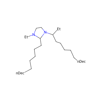 CCCCCCCCCCCCCCCC(CC)N1CCN(CC)C1CCCCCCCCCCCCCCC